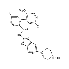 COc1cnc(Cl)cc1-c1cc(C)ncc1C(=O)Nc1nc2cnc(C3=CC[C@@H](O)CC3)cc2s1